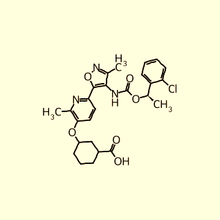 Cc1nc(-c2onc(C)c2NC(=O)O[C@H](C)c2ccccc2Cl)ccc1OC1CCCC(C(=O)O)C1